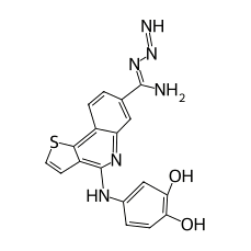 N=N/N=C(\N)c1ccc2c(c1)nc(Nc1ccc(O)c(O)c1)c1ccsc12